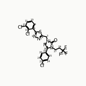 O=c1n(Cc2nnc(-c3cccc(Cl)c3Cl)s2)nc(-c2ccc(Cl)cc2)n1CCC(F)(F)F